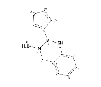 BN(Cc1ccccc1)B(S)c1cscn1